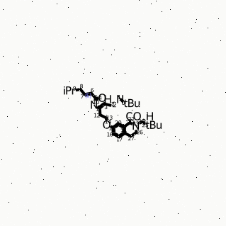 CC(C)(C)N.Cc1oc(/C=C/CC(C)C)nc1CCOc1ccc2c(c1)C(C(=O)O)N(CC(C)(C)C)CC2